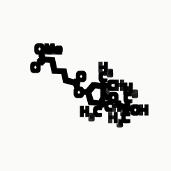 COC(=O)CCCCC(=O)OC1CC(C)(C)N(OCC(C)(C)O)C(C)(C)C1